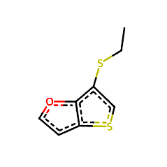 CCSc1csc2ccoc12